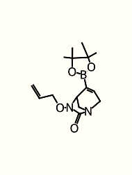 C=CCON1C(=O)N2CC=C(B3OC(C)(C)C(C)(C)O3)C1C2